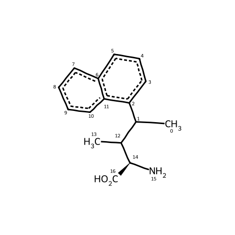 CC(c1cccc2ccccc12)C(C)[C@@H](N)C(=O)O